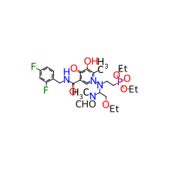 CCOCC(N(C)C=O)N(CCP(=O)(OCC)OCC)n1cc(C(=O)NCc2ccc(F)cc2F)c(=O)c(O)c1C